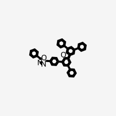 c1ccc(-c2cc(-c3ccccc3)c3oc4c(-c5ccc(-c6nnc(-c7ccccc7)o6)cc5)cc(-c5ccccc5)cc4c3c2)cc1